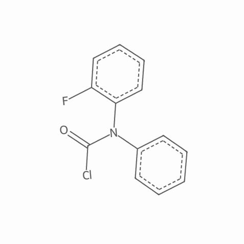 O=C(Cl)N(c1ccccc1)c1ccccc1F